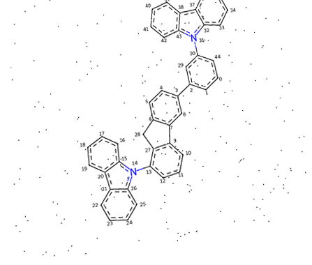 c1cc(-c2ccc3c(c2)-c2cccc(-n4c5ccccc5c5ccccc54)c2C3)cc(-n2c3ccccc3c3ccccc32)c1